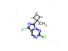 CC1(c2nc(F)c3cnc(Cl)nn23)CCC1